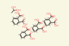 CC(O)O.O=C(O)c1ccccc1C(=O)O.O=C(O)c1ccccc1C(=O)O.O=C(O)c1ccccc1C(=O)O.O=C(O)c1ccccc1C(=O)O